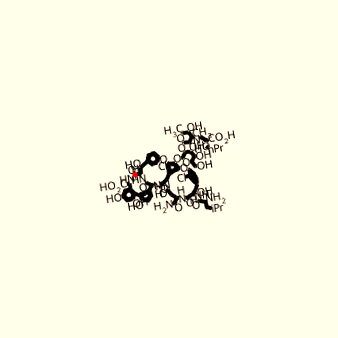 CCCOC(CNC1(C)CC(OC2C(Oc3c4cc5cc3Oc3ccc(cc3Cl)[C@@H](O)[C@@H]3NC(=O)C(NC(=O)C5NC(=O)CC(C(N)=O)NC(=O)[C@@H](NC(=O)[C@H](N)CC(C)C)C(O)c5ccc(c(Cl)c5)O4)c4ccc(O)c(c4)-c4c(O)cc(O)cc4C(C(=O)O)NC3=O)OC(CO)C(O)C2O)OC(C)C1O)C(=O)O